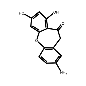 Nc1ccc2c(c1)CC(=O)c1c(O)cc(O)cc1O2